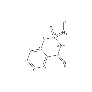 CN=S1(=O)Cc2ccccc2C(=O)N1